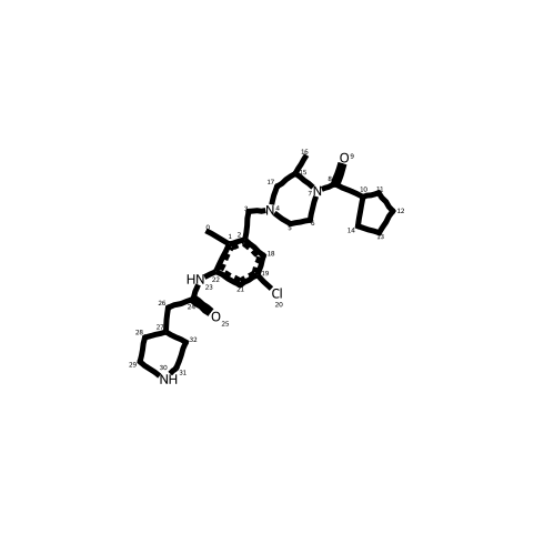 Cc1c(CN2CCN(C(=O)C3CCCC3)C(C)C2)cc(Cl)cc1NC(=O)CC1CCNCC1